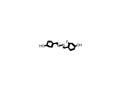 Oc1ccc(/C=N/N=C/c2ccc(O)cc2F)cc1